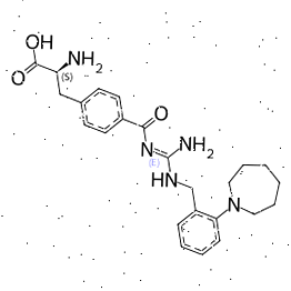 N/C(=N\C(=O)c1ccc(C[C@H](N)C(=O)O)cc1)NCc1ccccc1N1CCCCCC1